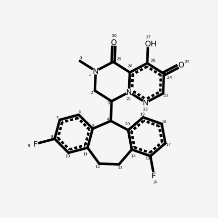 CN1CC(C2c3ccc(F)cc3CCc3c(F)cccc32)n2ncc(=O)c(O)c2C1=O